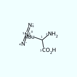 CCCCC(N)C(=O)O.[N-]=[N+]=[N-]